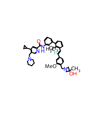 COc1cc(/C(F)=C/c2cccc(-c3cccc(NC(=O)c4cc(C5CC5)c(CN5CCCCC5)cn4)c3C)c2C)ccc1CN1CC(C)(O)C1